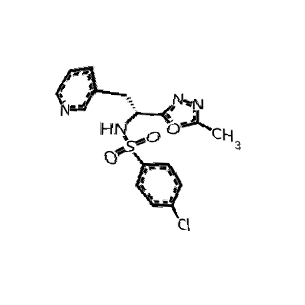 Cc1nnc([C@@H](Cc2cccnc2)NS(=O)(=O)c2ccc(Cl)cc2)o1